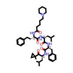 CC(C)C[C@H](NC(=O)[C@H](CCc1ccccc1)NC(=O)CCCCN1CCCCC1)C(=O)N[C@@H](Cc1ccccc1)C(=O)N[C@@H](CC(C)C)C(=O)C1(C)CC1